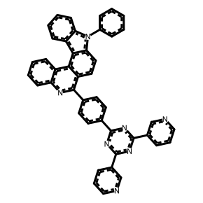 c1ccc(-n2c3ccccc3c3c4c(ccc32)c(-c2ccc(-c3nc(-c5cccnc5)nc(-c5cccnc5)n3)cc2)nc2ccccc24)cc1